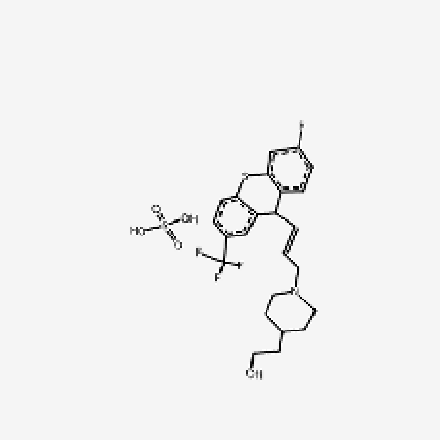 O=S(=O)(O)O.OCCC1CCN(CC=CC2c3ccc(F)cc3Sc3ccc(C(F)(F)F)cc32)CC1